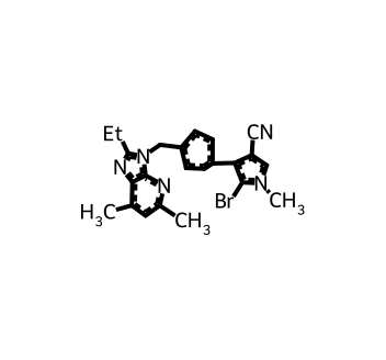 CCc1nc2c(C)cc(C)nc2n1Cc1ccc(-c2c(C#N)cn(C)c2Br)cc1